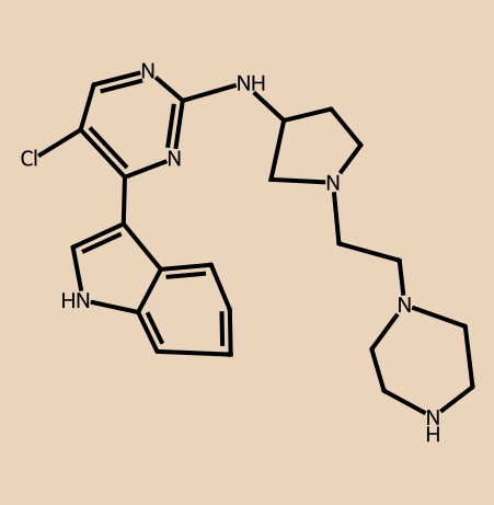 Clc1cnc(NC2CCN(CCN3CCNCC3)C2)nc1-c1c[nH]c2ccccc12